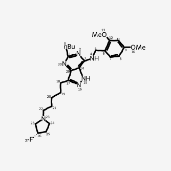 CCCCc1nc(NCc2ccc(OC)cc2OC)c2[nH]nc(CCCCCN3CC[C@H](F)C3)c2n1